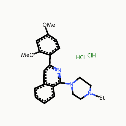 CCN1CCN(c2nc(-c3ccc(OC)cc3OC)cc3ccccc23)CC1.Cl.Cl